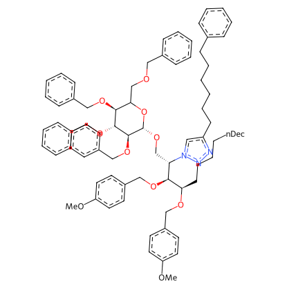 CCCCCCCCCCCCCC[C@@H](OCc1ccc(OC)cc1)[C@@H](OCc1ccc(OC)cc1)[C@H](CO[C@H]1OC(COCc2ccccc2)[C@H](OCc2ccccc2)[C@@H](OCc2ccccc2)[C@@H]1OCc1ccccc1)n1cc(CCCCCCc2ccccc2)nn1